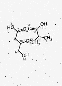 CC(C)C(=O)O.O=C(O)CC(O)CO